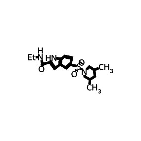 CCNC(=O)c1cc2cc(S(=O)(=O)N3CC(C)CC(C)C3)ccc2[nH]1